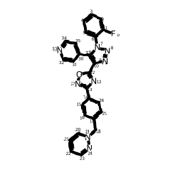 Fc1ccccc1-n1nnc(-c2nc(-c3ccc(CN4C=C=CC=N4)cc3)no2)c1-c1ccncc1